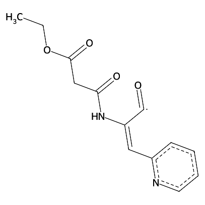 CCOC(=O)CC(=O)N/C([C]=O)=C/c1ccccn1